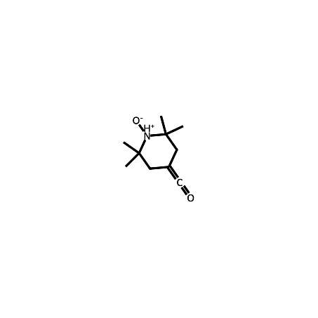 CC1(C)CC(=C=O)CC(C)(C)[NH+]1[O-]